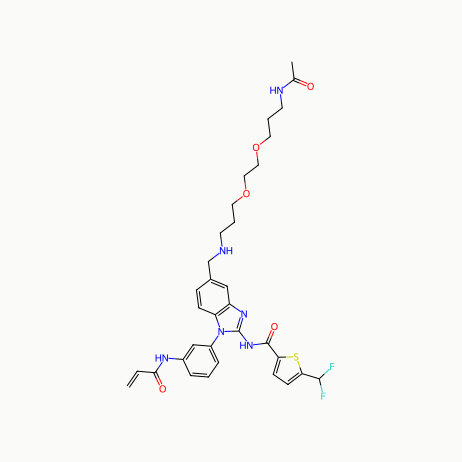 C=CC(=O)Nc1cccc(-n2c(NC(=O)c3ccc(C(F)F)s3)nc3cc(CNCCCOCCOCCCNC(C)=O)ccc32)c1